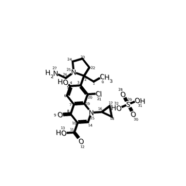 CCC1(c2c(O)cc3c(=O)c(C(=O)O)cn(C4CC4)c3c2Cl)CCCN1CN.O=S(=O)(O)O